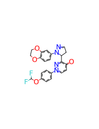 O=c1ccn(-c2ccc(OC(F)F)cc2)nc1C1CC=NN1c1ccc2c(c1)OCCO2